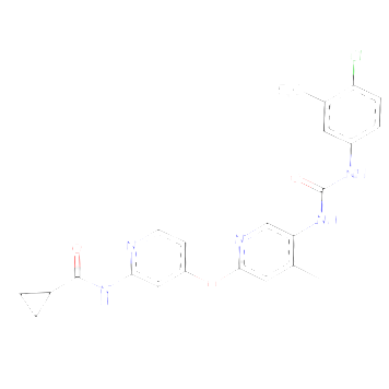 Cc1cc(Oc2ccnc(NC(=O)C3CC3)c2)ncc1NC(=O)Nc1ccc(Cl)c(C(F)(F)F)c1